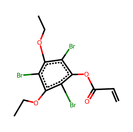 C=CC(=O)Oc1c(Br)c(OCC)c(Br)c(OCC)c1Br